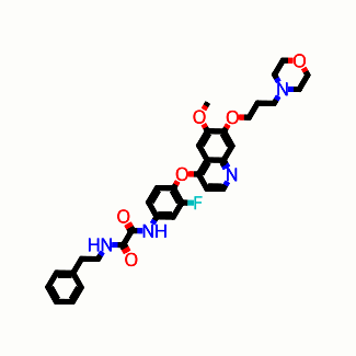 COc1cc2c(Oc3ccc(NC(=O)C(=O)NCCc4ccccc4)cc3F)ccnc2cc1OCCCN1CCOCC1